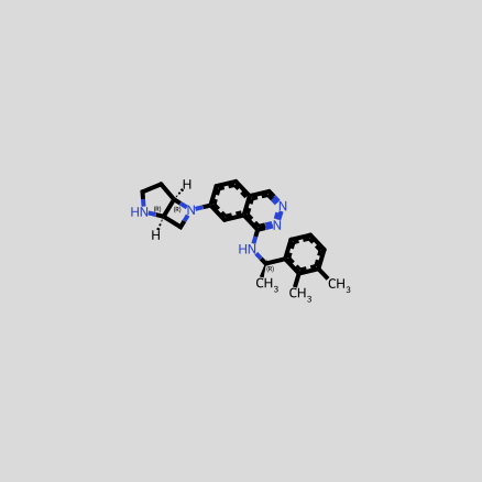 Cc1cccc([C@@H](C)Nc2nncc3ccc(N4C[C@H]5NCC[C@H]54)cc23)c1C